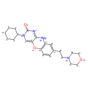 O=c1nc2c(cn1C1CCCCC1)Oc1ccc(CCN3CCOCC3)cc1N2